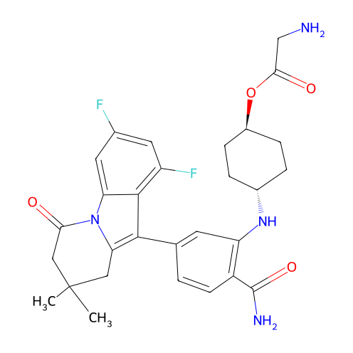 CC1(C)CC(=O)n2c(c(-c3ccc(C(N)=O)c(N[C@H]4CC[C@H](OC(=O)CN)CC4)c3)c3c(F)cc(F)cc32)C1